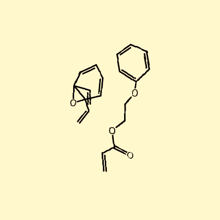 C=CC(=O)OCCOc1ccccc1.C=CC12C=CC=CC1(C=C)O2